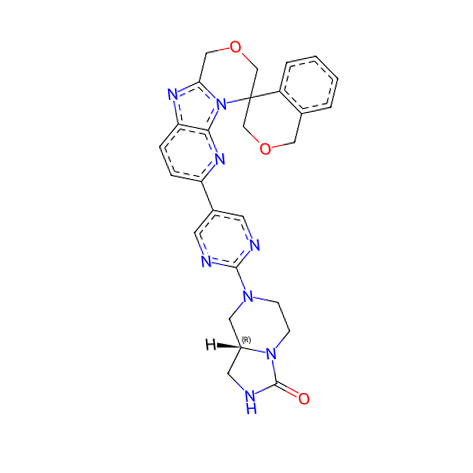 O=C1NC[C@@H]2CN(c3ncc(-c4ccc5nc6n(c5n4)C4(COCc5ccccc54)COC6)cn3)CCN12